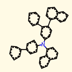 c1ccc(-c2ccc(N(c3ccc(-c4cccc5ccccc45)c(-c4ccccc4)c3)c3cccc4ccccc34)cc2)cc1